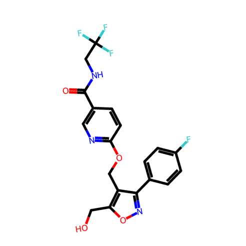 O=C(NCC(F)(F)F)c1ccc(OCc2c(-c3ccc(F)cc3)noc2CO)nc1